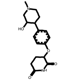 CN1CCC(c2ccc(OC3CCC(=O)NC3=O)cc2)C(O)C1